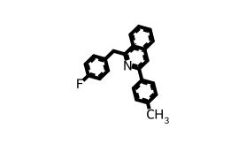 Cc1ccc(-c2cc3ccccc3c(Cc3ccc(F)cc3)n2)cc1